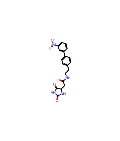 O=C(CC1NC(=O)NC1=O)NCCc1ccc(-c2cccc([N+](=O)[O-])c2)cc1